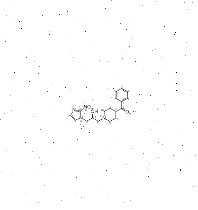 O=C(c1ccccc1)C1CCN(CC(O)Cn2ccnc2[N+](=O)[O-])CC1